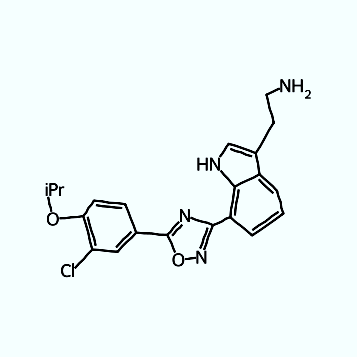 CC(C)Oc1ccc(-c2nc(-c3cccc4c(CCN)c[nH]c34)no2)cc1Cl